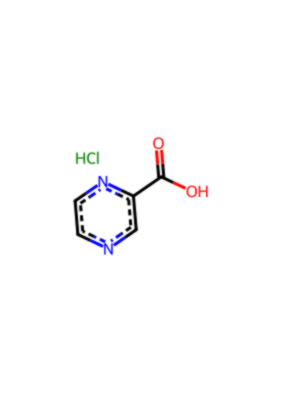 Cl.O=C(O)c1cnccn1